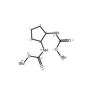 CC(C)(C)OC(=O)NC1CCCC1NC(=O)OC(C)(C)C